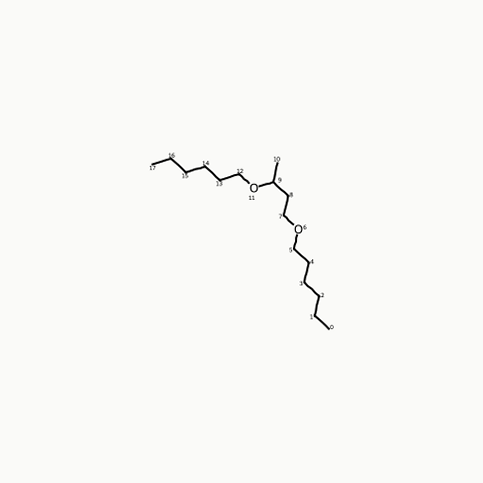 CCCCCCOCCC(C)OCCCCCC